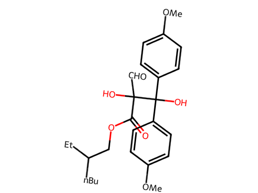 CCCCC(CC)COC(=O)C(O)(C=O)C(O)(c1ccc(OC)cc1)c1ccc(OC)cc1